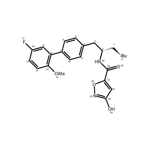 CC[C@H](C)C[C@@H](Cc1ccc(-c2cc(F)ccc2OC)cc1)NC(=O)c1cc(O)no1